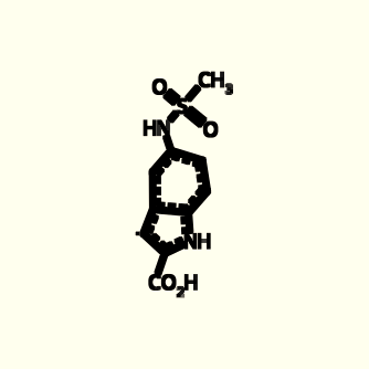 CS(=O)(=O)Nc1ccc2[nH]c(C(=O)O)[c]c2c1